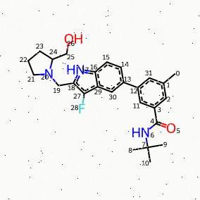 Cc1cc(C(=O)NC(C)(C)C)cc(-c2ccc3[nH]c(CN4CCCC4CO)c(F)c3c2)c1